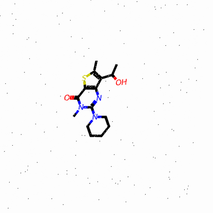 Cc1sc2c(=O)n(C)c(N3CCCCC3)nc2c1C(C)O